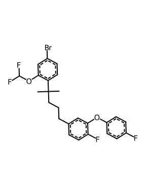 CC(C)(CCCc1ccc(F)c(Oc2ccc(F)cc2)c1)c1ccc(Br)cc1OC(F)F